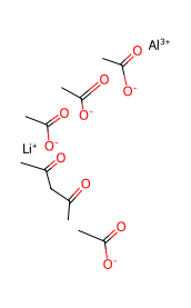 CC(=O)CC(C)=O.CC(=O)[O-].CC(=O)[O-].CC(=O)[O-].CC(=O)[O-].[Al+3].[Li+]